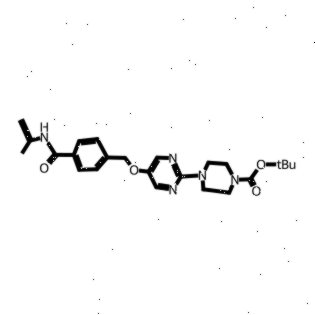 C=C(C)NC(=O)c1ccc(COc2cnc(N3CCN(C(=O)OC(C)(C)C)CC3)nc2)cc1